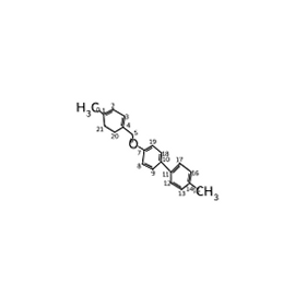 CC1=CC=C(COc2ccc(-c3ccc(C)cc3)cc2)CC1